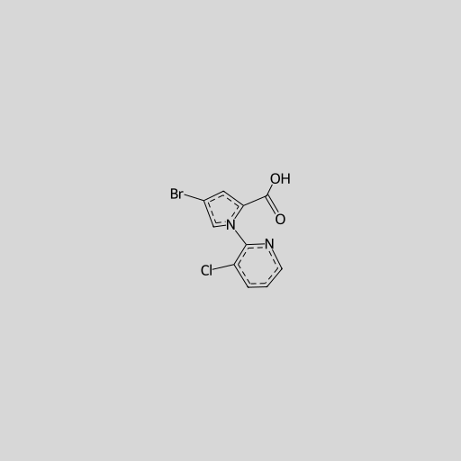 O=C(O)c1cc(Br)cn1-c1ncccc1Cl